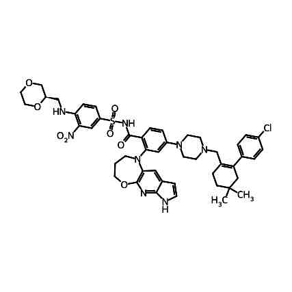 CC1(C)CCC(CN2CCN(c3ccc(C(=O)NS(=O)(=O)c4ccc(NC[C@@H]5COCCO5)c([N+](=O)[O-])c4)c(N4CCCOc5nc6[nH]ccc6cc54)c3)CC2)=C(c2ccc(Cl)cc2)C1